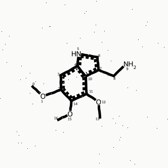 COc1cc2[nH]cc(CN)c2c(OC)c1OC